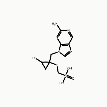 CCC1CC1(Cn1cnc2cnc(N)nc21)OCP(=O)(O)O